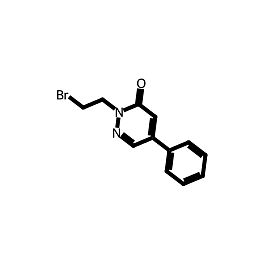 O=c1cc(-c2ccccc2)cnn1CCBr